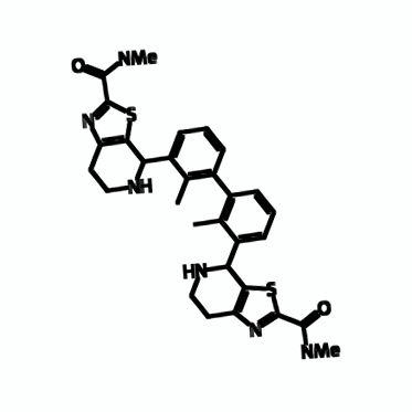 CNC(=O)c1nc2c(s1)C(c1cccc(-c3cccc(C4NCCc5nc(C(=O)NC)sc54)c3C)c1C)NCC2